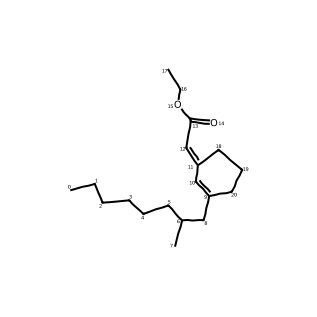 CCCCCCC(C)CC1=C/C(=C/C(=O)OCC)CCC1